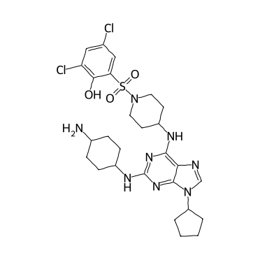 NC1CCC(Nc2nc(NC3CCN(S(=O)(=O)c4cc(Cl)cc(Cl)c4O)CC3)c3ncn(C4CCCC4)c3n2)CC1